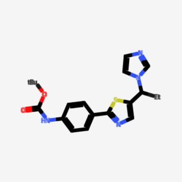 CCC(c1cnc(-c2ccc(NC(=O)OC(C)(C)C)cc2)s1)n1ccnc1